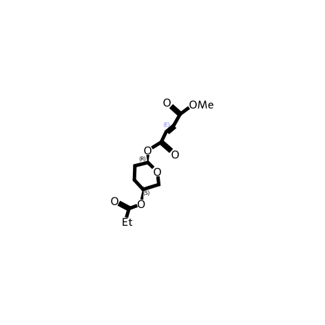 CCC(=O)O[C@H]1CC[C@@H](OC(=O)/C=C/C(=O)OC)OC1